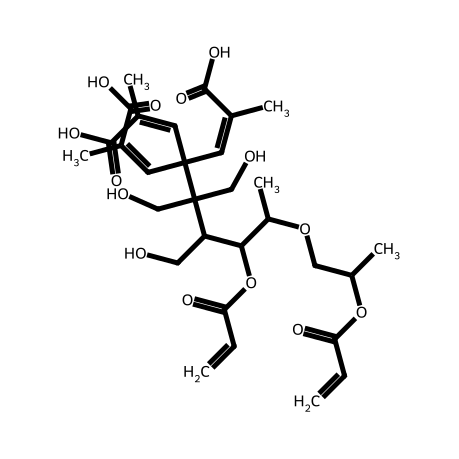 C=CC(=O)OC(C)COC(C)C(OC(=O)C=C)C(CO)C(CO)(CO)C(C=C(C)C(=O)O)(C=C(C)C(=O)O)C=C(C)C(=O)O